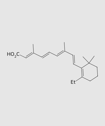 CCC1=C(C=CC(C)=CC=C/C(C)=C/C(=O)O)C(C)(C)CCC1